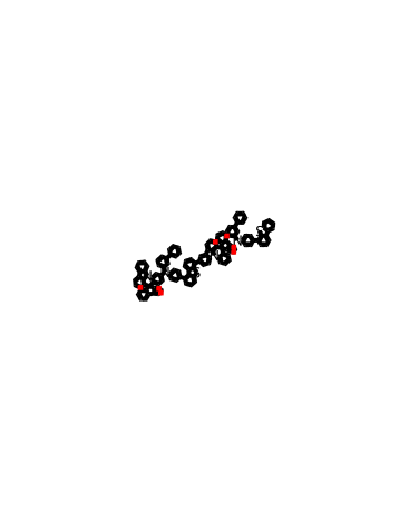 c1ccc(-c2cccc(N(c3ccc(-c4cccc5sc6c(-c7ccc8c(c7)c7cccc9c7n8-c7ccccc7C97c8ccccc8-c8c(N(c9ccc(-c%10cccc%11c%10sc%10ccccc%10%11)cc9)c9cccc(-c%10ccccc%10)c9)cccc87)cccc6c45)cc3)c3ccc4c(c3)-n3c5ccccc5c5cccc(c53)C43c4ccccc4-c4ccccc43)c2)cc1